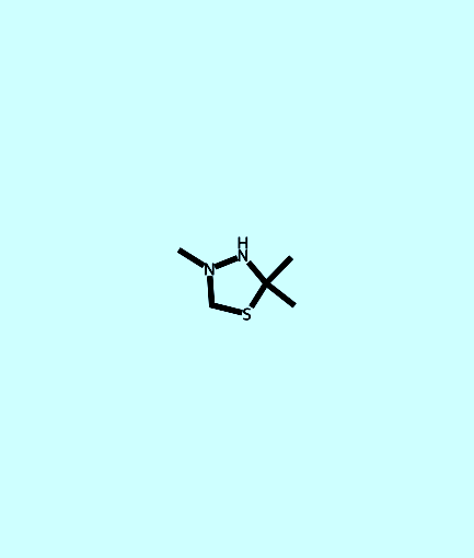 CN1CSC(C)(C)N1